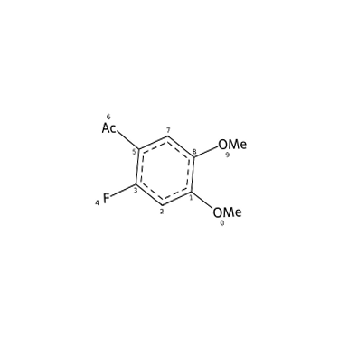 COc1cc(F)c(C(C)=O)cc1OC